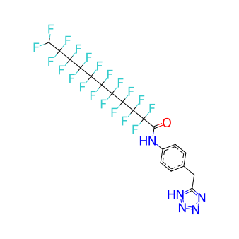 O=C(Nc1ccc(Cc2nnn[nH]2)cc1)C(F)(F)C(F)(F)C(F)(F)C(F)(F)C(F)(F)C(F)(F)C(F)(F)C(F)(F)C(F)(F)C(F)F